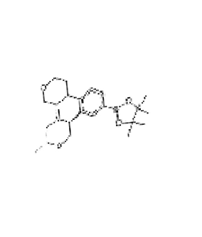 C[C@@H]1CN[C@@H](c2cc(B3OC(C)(C)C(C)(C)O3)ccc2C2CCOCC2)CO1